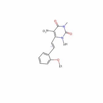 CCCn1c(/C=C/c2ccccc2OCC)c([N+](=O)[O-])c(=O)n(C)c1=O